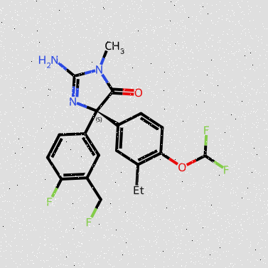 CCc1cc([C@@]2(c3ccc(F)c(CF)c3)N=C(N)N(C)C2=O)ccc1OC(F)F